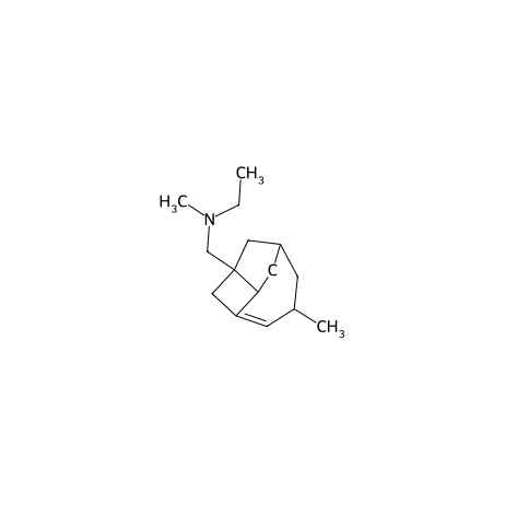 CCN(C)CC12CC3=CC(C)CC(CC31)C2